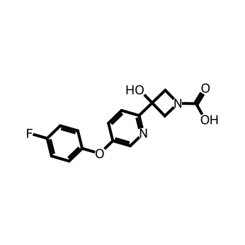 O=C(O)N1CC(O)(c2ccc(Oc3ccc(F)cc3)cn2)C1